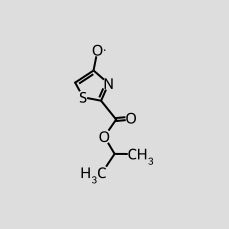 CC(C)OC(=O)c1nc([O])cs1